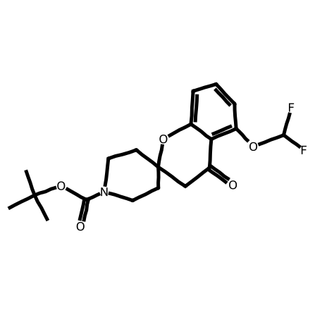 CC(C)(C)OC(=O)N1CCC2(CC1)CC(=O)c1c(OC(F)F)cccc1O2